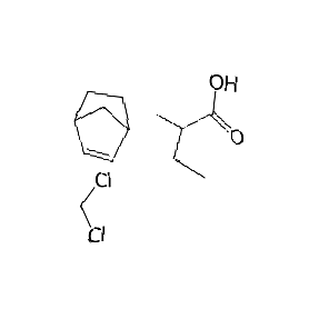 C1=CC2CCC1C2.CCC(C)C(=O)O.ClCCl